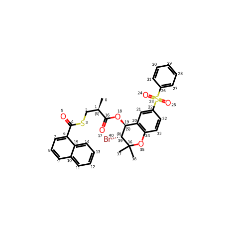 C[C@H](CSC(=O)c1cccc2ccccc12)C(=O)O[C@H]1c2cc(S(=O)(=O)c3ccccc3)ccc2OC(C)(C)[C@@H]1Br